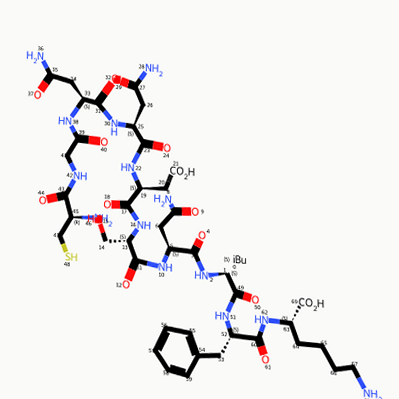 CC[C@H](C)[C@H](NC(=O)[C@H](CC(N)=O)NC(=O)[C@H](CO)NC(=O)[C@H](CC(=O)O)NC(=O)[C@H](CC(N)=O)NC(=O)[C@H](CC(N)=O)NC(=O)CNC(=O)[C@@H](N)CS)C(=O)N[C@@H](Cc1ccccc1)C(=O)N[C@@H](CCCCN)C(=O)O